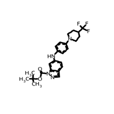 CC(C)(C)OC(=O)n1ncc2ccc(Nc3ccc(N4CCC(C(F)(F)F)CC4)cc3)cc21